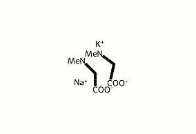 CNCC(=O)[O-].CNCC(=O)[O-].[K+].[Na+]